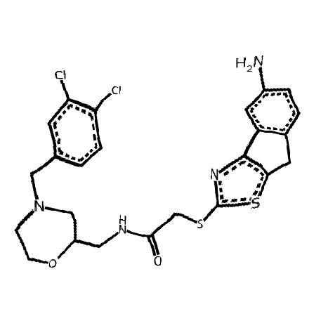 Nc1ccc2c(c1)-c1nc(SCC(=O)NCC3CN(Cc4ccc(Cl)c(Cl)c4)CCO3)sc1C2